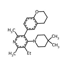 CCc1c(C)nc(C)c(-c2ccc3c(c2)CCCO3)c1N1CCC(C)(C)CC1